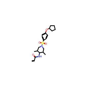 C=CC(=O)NC1C(C)CN(S(=O)(=O)c2ccc(OC3CCCC3)cc2)CC1C